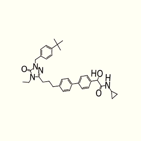 CCn1c(CCCc2ccc(-c3ccc(C(O)C(=O)NC4CC4)cc3)cc2)nn(Cc2ccc(C(C)(C)C)cc2)c1=O